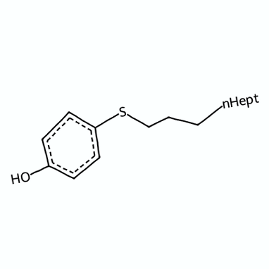 CCCCCCCCCCSc1ccc(O)cc1